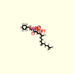 CC(C)=CCCC(C)=CCCC(C)=CCC(C(=O)NCCc1ccccc1)P(=O)(O)O